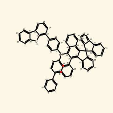 c1ccc(-c2ccc(N(c3ccc(-c4cccc5c4oc4ccccc45)cc3)c3c(-c4ccccc4)c4c(c5ccccc35)C3(c5ccccc5-c5ccccc53)c3ccccc3-4)cc2)cc1